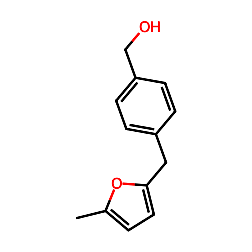 Cc1ccc(Cc2ccc(CO)cc2)o1